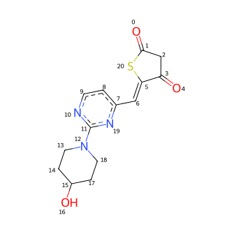 O=C1CC(=O)/C(=C/c2ccnc(N3CCC(O)CC3)n2)S1